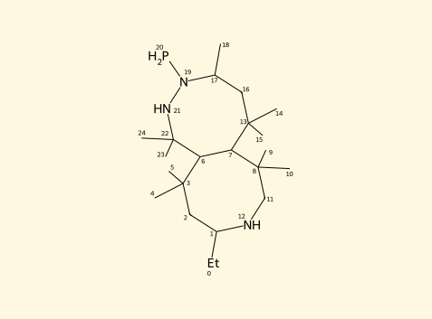 CCC1CC(C)(C)C2C(C(C)(C)CN1)C(C)(C)CC(C)N(P)NC2(C)C